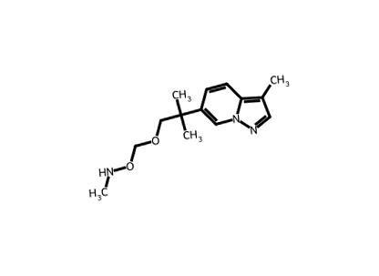 CNOCOCC(C)(C)c1ccc2c(C)cnn2c1